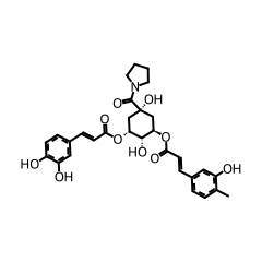 Cc1ccc(/C=C/C(=O)O[C@@H]2C[C@](O)(C(=O)N3CCCC3)C[C@@H](OC(=O)/C=C/c3ccc(O)c(O)c3)[C@H]2O)cc1O